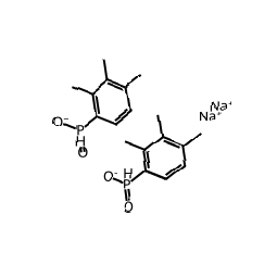 Cc1ccc([PH](=O)[O-])c(C)c1C.Cc1ccc([PH](=O)[O-])c(C)c1C.[Na+].[Na+]